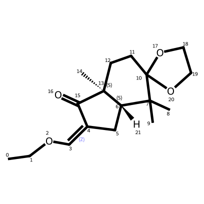 CCO/C=C1/C[C@H]2C(C)(C)C3(CC[C@]2(C)C1=O)OCCO3